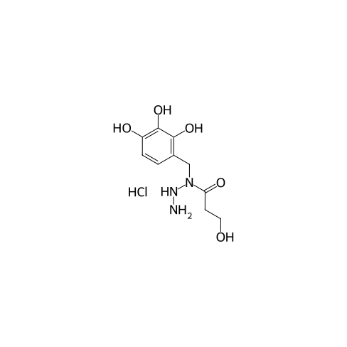 Cl.NNN(Cc1ccc(O)c(O)c1O)C(=O)CCO